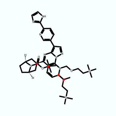 CCO/C=C\c1c([C@H]2C[C@H]3CC[C@@H](C2)N3C(=O)OC(C)(C)C)nc2c(-c3ccc(-c4ncc[nH]4)nc3)cnn2c1N(COCC[Si](C)(C)C)COCC[Si](C)(C)C